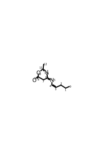 CCC/C=C\N=C1/CC(=O)OC(C)=N1